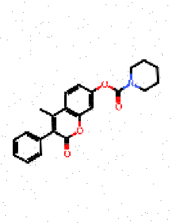 Cc1c(-c2ccccc2)c(=O)oc2cc(OC(=O)N3CCCCC3)ccc12